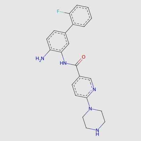 Nc1ccc(-c2ccccc2F)cc1NC(=O)c1ccc(N2CCNCC2)nc1